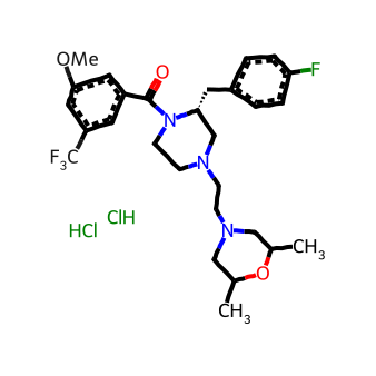 COc1cc(C(=O)N2CCN(CCN3CC(C)OC(C)C3)C[C@H]2Cc2ccc(F)cc2)cc(C(F)(F)F)c1.Cl.Cl